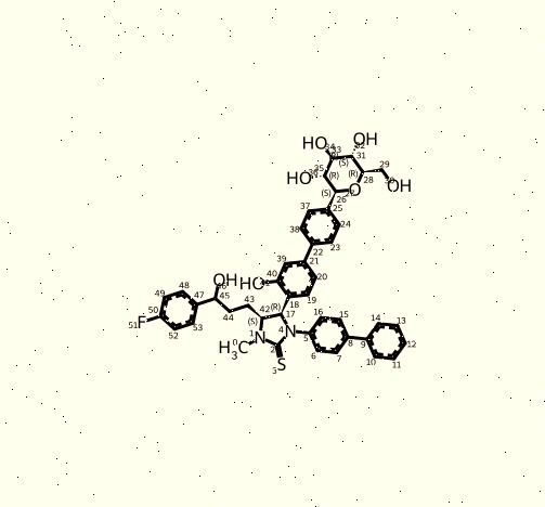 CN1C(=S)N(c2ccc(-c3ccccc3)cc2)[C@H](c2ccc(-c3ccc([C@@H]4O[C@H](CO)[C@@H](O)[C@H](O)[C@H]4O)cc3)cc2O)[C@@H]1CCC(O)c1ccc(F)cc1